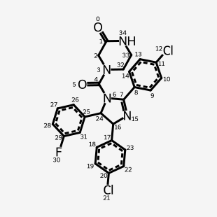 O=C1CN(C(=O)N2C(c3ccc(Cl)cc3)=NC(c3ccc(Cl)cc3)C2c2cccc(F)c2)CCN1